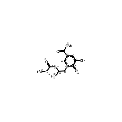 COC(=O)c1cc(Cl)c(=O)n(CC(C)NC(=O)OC(C)(C)C)c1